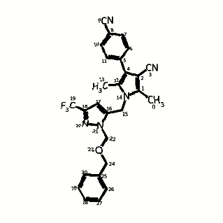 Cc1c(C#N)c(-c2ccc(C#N)cc2)c(C)n1Cc1cc(C(F)(F)F)nn1COCc1ccccc1